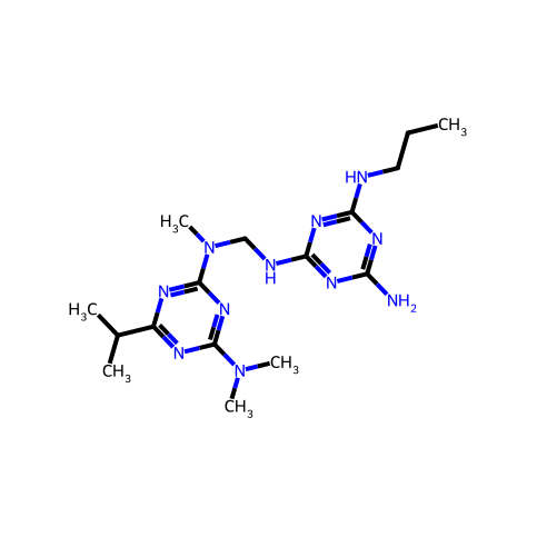 CCCNc1nc(N)nc(NCN(C)c2nc(C(C)C)nc(N(C)C)n2)n1